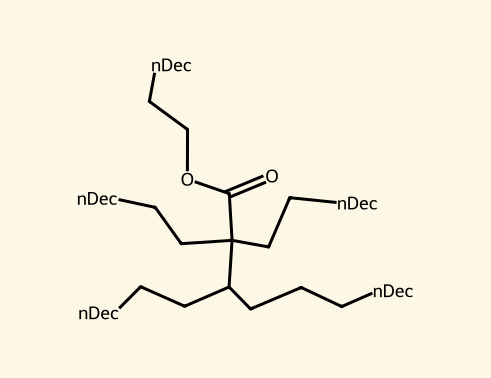 CCCCCCCCCCCCCC(CCCCCCCCCCCC)C(CCCCCCCCCCCC)(CCCCCCCCCCCC)C(=O)OCCCCCCCCCCCC